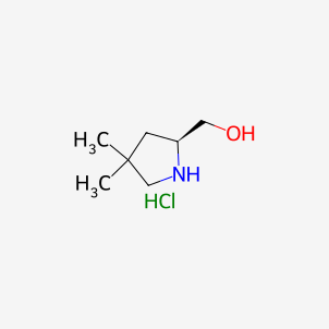 CC1(C)CN[C@H](CO)C1.Cl